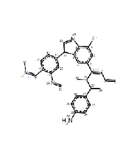 C=C/C=C(/c1cc(F)c2c(c1)C(c1ccc(/C=N\C)c(N=C)c1)C=N2)C(C)C(C)c1ccc(N)cc1